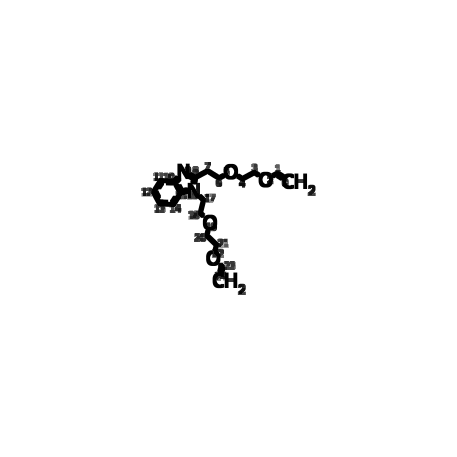 C=COCCOCCc1nc2ccccc2n1CCOCCOC=C